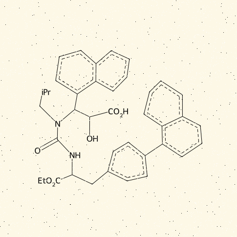 CCOC(=O)C(Cc1ccc(-c2cccc3ccccc23)cc1)NC(=O)N(CC(C)C)C(c1cccc2ccccc12)C(O)C(=O)O